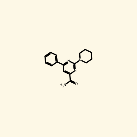 NC(=O)c1cc(-c2ccccc2)nc(N2CCCCC2)n1